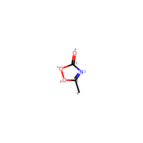 Cc1nc(=O)oo1